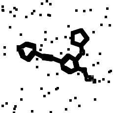 COc1ccc(C#Cc2ccncc2)cc1OC1CCCC1